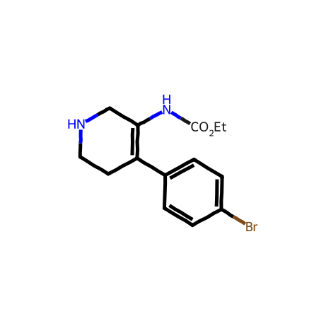 CCOC(=O)NC1=C(c2ccc(Br)cc2)CCNC1